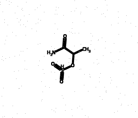 CC(O[SH](=O)=O)C(N)=O